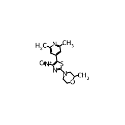 [C-]#[N+]c1nc(N2CCOC(C)C2)sc1-c1cc(C)nc(C)c1